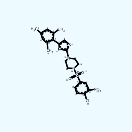 Cc1cc(C)c(-c2csc(N3CCN(S(=O)(=O)c4ccc(Cl)c([N+](=O)[O-])c4)CC3)n2)c(C)c1